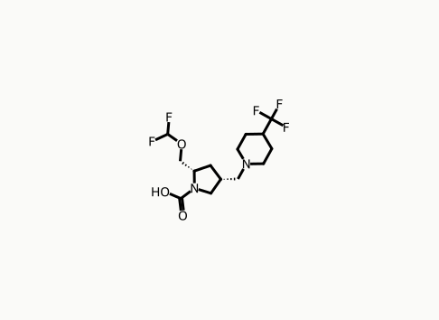 O=C(O)N1C[C@@H](CN2CCC(C(F)(F)F)CC2)C[C@H]1COC(F)F